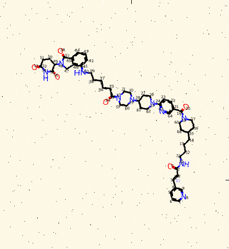 O=C(/C=C/c1cccnc1)NCCCCC1CCN(C(=O)c2ccc(N3CCC(N4CCN(C(=O)CCCCCNc5cccc6c5CN(C5CCC(=O)NC5=O)C6=O)CC4)CC3)nc2)CC1